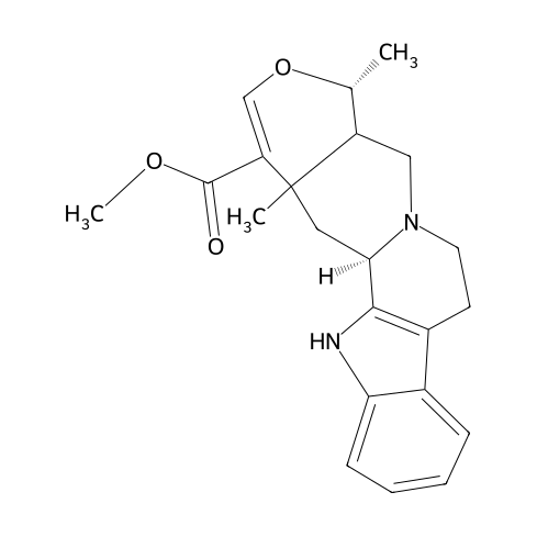 COC(=O)C1=CO[C@H](C)C2CN3CCc4c([nH]c5ccccc45)[C@H]3CC12C